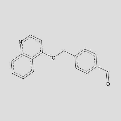 O=Cc1ccc(COc2ccnc3ccccc23)cc1